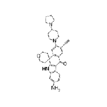 C#Cc1cc2c(cc1N1CCC(N3CCCC3)CC1)C1(CCOCC1)c1[nH]c3cc(N)ccc3c1C2=O